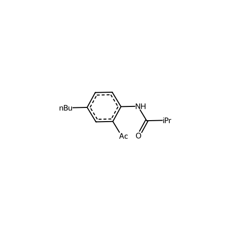 CCCCc1ccc(NC(=O)C(C)C)c(C(C)=O)c1